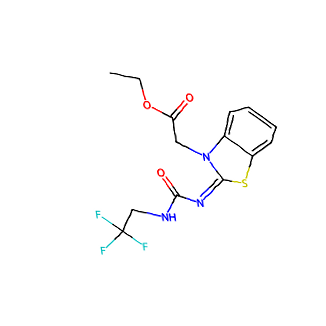 CCOC(=O)Cn1c(=NC(=O)NCC(F)(F)F)sc2ccccc21